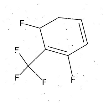 FC1=C(C(F)(F)F)C(F)CC=C1